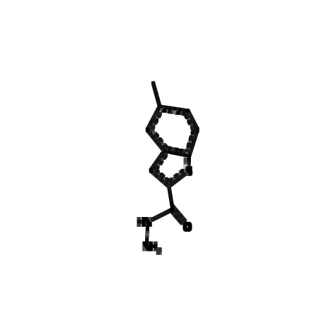 Cc1ccc2sc(C(=O)NN)cc2c1